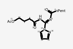 CCCCCC(=O)N=C(NC(=O)CCCOC(C)=O)n1cccn1